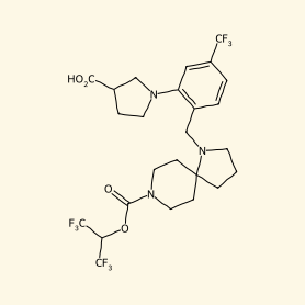 O=C(O)C1CCN(c2cc(C(F)(F)F)ccc2CN2CCCC23CCN(C(=O)OC(C(F)(F)F)C(F)(F)F)CC3)C1